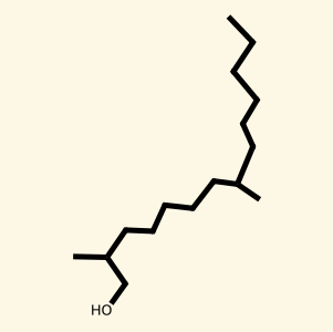 CCCCCCC(C)CCCCCC(C)CO